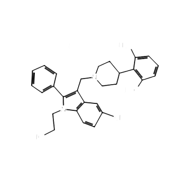 Cc1cccc(C)c1C1CCN(Cc2c(-c3ccccc3)n(CCO)c3ccc(Cl)cc23)CC1.Cl